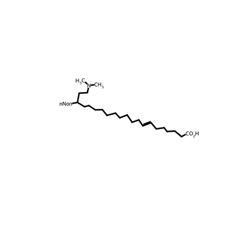 CCCCCCCCCC(CCCCCCCCCCC=CCCCCCC(=O)O)CCN(C)C